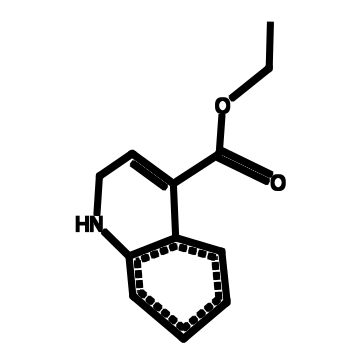 CCOC(=O)C1=CCNc2ccccc21